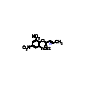 C/C=C/C(=O)Oc1c(CCCCCCCC)cc([N+](=O)[O-])cc1[N+](=O)[O-]